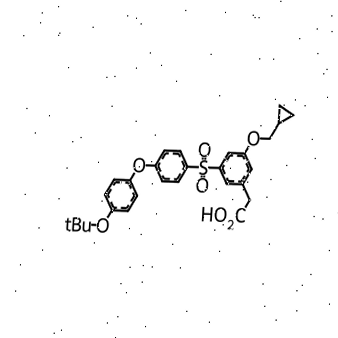 CC(C)(C)Oc1ccc(Oc2ccc(S(=O)(=O)c3cc(CC(=O)O)cc(OCC4CC4)c3)cc2)cc1